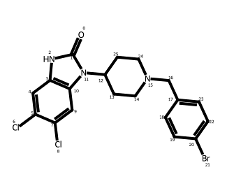 O=c1[nH]c2cc(Cl)c(Cl)cc2n1C1CCN(Cc2ccc(Br)cc2)CC1